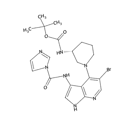 CC(C)(C)OC(=O)N[C@@H]1CCCN(c2c(Br)cnc3[nH]cc(NC(=O)n4ccnc4)c23)C1